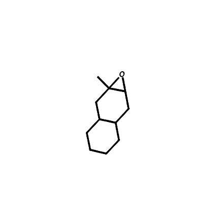 CC12CC3CCCCC3CC1O2